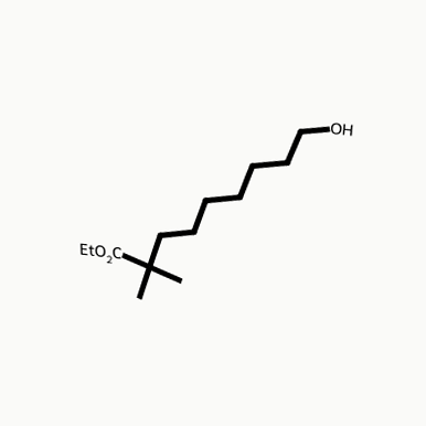 CCOC(=O)C(C)(C)CCCCCCCO